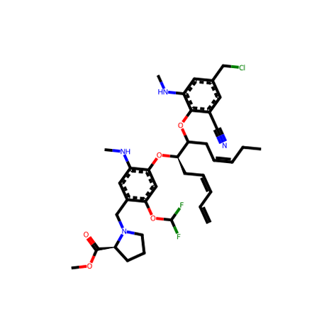 C=C/C=C\C[C@@H](Oc1cc(OC(F)F)c(CN2CCC[C@H]2C(=O)OC)cc1NC)C(C/C=C\CC)Oc1c(C#N)cc(CCl)cc1NC